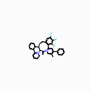 C=C1C2C(CCc3cc(F)c(F)c(F)c3-c3cc(-c4ccccc4)c(C)c[n+]31)c1ccccc1-c1cccc[n+]12